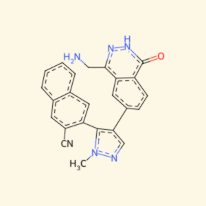 Cn1ncc(-c2ccc3c(=O)[nH]nc(CN)c3c2)c1-c1cc2ccccc2cc1C#N